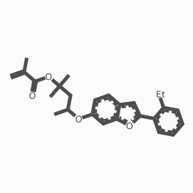 C=C(C)C(=O)OC(C)(C)CC(C)Oc1ccc2cc(-c3ccccc3CC)oc2c1